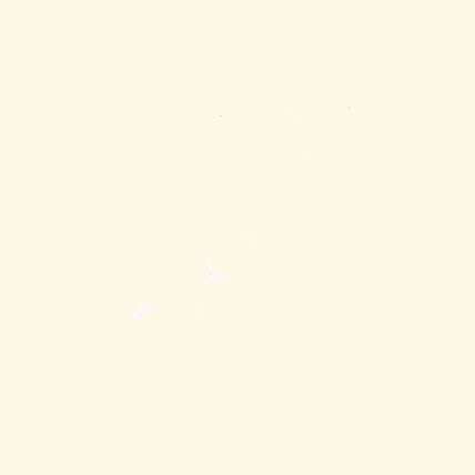 CC(C)S(=O)(=O)c1cc(-c2coc(-c3cc(C(F)C(F)F)c(C#N)c(=O)n3Cc3ccc(F)cc3F)c2)cc(C(F)(F)F)c1